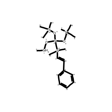 C[SiH2]O[Si](O[Si](C)(C)C)(O[Si](C)(C)C)[Si](C)(C)C=Cc1ccccc1